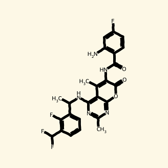 Cc1nc(NC(C)c2cccc(C(F)F)c2F)c2c(C)c(NC(=O)c3ccc(F)cc3N)c(=O)oc2n1